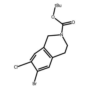 CC(C)(C)OC(=O)N1CCc2cc(Br)c(Cl)cc2C1